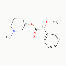 CO[C@@H](C(=O)O[C@H]1CCCN(C)C1)c1ccccc1